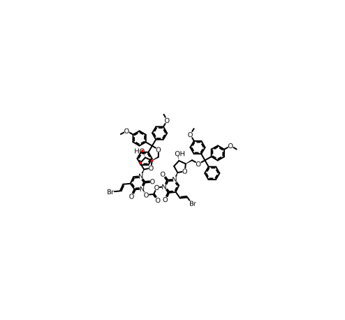 COc1ccc(C(OC[C@H]2O[C@@H](n3cc(/C=C/Br)c(=O)n(OC(=O)On4c(=O)c(/C=C/Br)cn([C@H]5C[C@H](O)[C@@H](COC(c6ccccc6)(c6ccc(OC)cc6)c6ccc(OC)cc6)O5)c4=O)c3=O)C[C@@H]2O)(c2ccccc2)c2ccc(OC)cc2)cc1